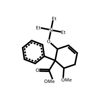 CC[Si](CC)(CC)OC1C=CCC(OC)C1(C(=O)OC)c1ccccc1